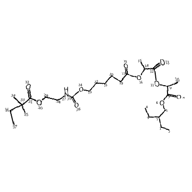 CCC(CC)COC(=O)C(C)OC(=O)C(C)OC(=O)CCCCCOC(=O)NCCOC(=O)C(C)(C)CC